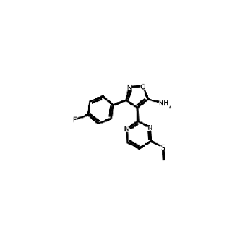 CSc1ccnc(-c2c(-c3ccc(F)cc3)noc2N)n1